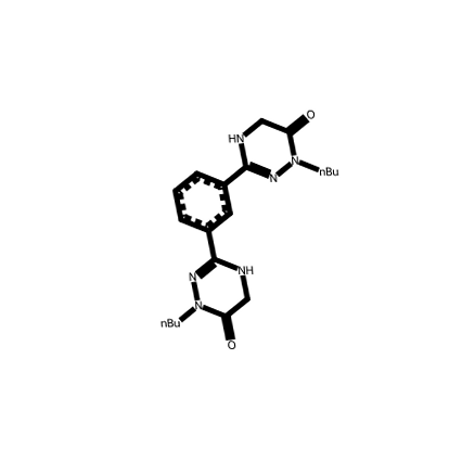 CCCCN1N=C(c2cccc(C3=NN(CCCC)C(=O)CN3)c2)NCC1=O